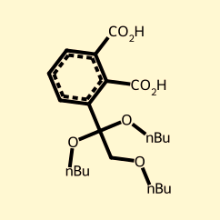 CCCCOCC(OCCCC)(OCCCC)c1cccc(C(=O)O)c1C(=O)O